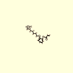 C=CC(=O)Oc1ccccc1OCCCCCOCCCCCCCCCCC